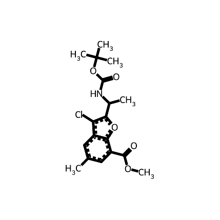 COC(=O)c1cc(C)cc2c(Cl)c(C(C)NC(=O)OC(C)(C)C)oc12